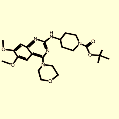 COc1cc2nc(NC3CCN(C(=O)OC(C)(C)C)CC3)nc(N3CCOCC3)c2cc1OC